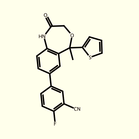 CC1(c2cccs2)OCC(=O)Nc2ccc(-c3ccc(F)c(C#N)c3)cc21